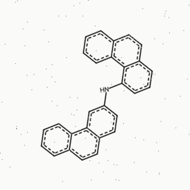 c1ccc2c(c1)ccc1ccc(Nc3cccc4ccc5ccccc5c34)cc12